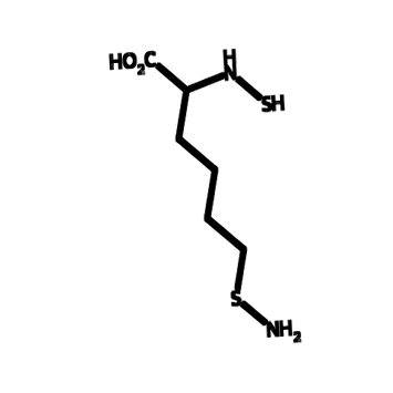 NSCCCCC(NS)C(=O)O